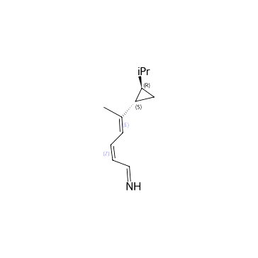 C/C(=C\C=C/C=N)[C@H]1C[C@@H]1C(C)C